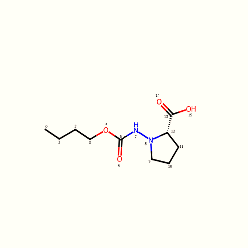 CCCCOC(=O)NN1CCC[C@H]1C(=O)O